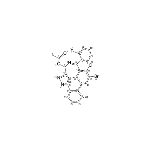 CC(=O)OC1N=C(c2ccccc2F)c2c(ccc(Br)c2Cl)-n2c(-c3cccnn3)nnc21